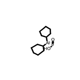 C1CC[CH]([Al][CH]2CCCCC2)CC1.O=PO